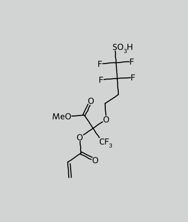 C=CC(=O)OC(OCCC(F)(F)C(F)(F)S(=O)(=O)O)(C(=O)OC)C(F)(F)F